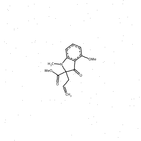 C=CCC1(C(=O)OC)C(=O)c2c(OC)cccc2N1C